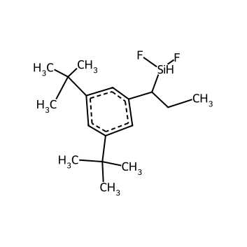 CCC(c1cc(C(C)(C)C)cc(C(C)(C)C)c1)[SiH](F)F